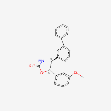 COc1cccc([C@@H]2OC(=O)N[C@H]2c2cccc(-c3ccccc3)c2)c1